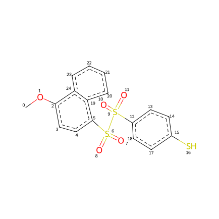 COc1ccc(S(=O)(=O)S(=O)(=O)c2ccc(S)cc2)c2ccccc12